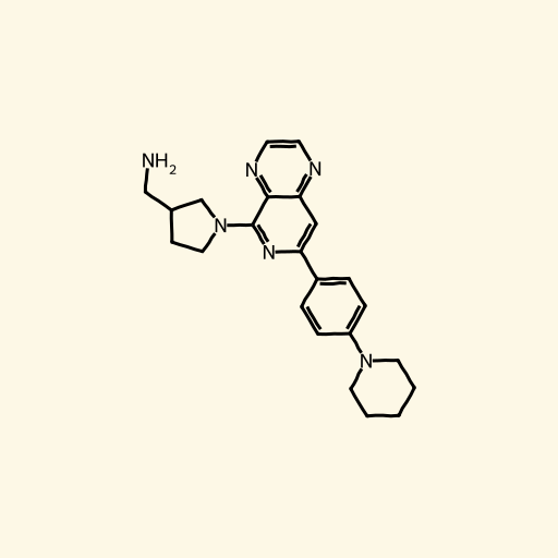 NCC1CCN(c2nc(-c3ccc(N4CCCCC4)cc3)cc3nccnc23)C1